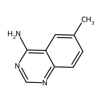 Cc1ccc2ncnc(N)c2c1